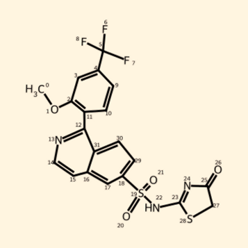 COc1cc(C(F)(F)F)ccc1-c1nccc2cc(S(=O)(=O)NC3=NC(=O)CS3)ccc12